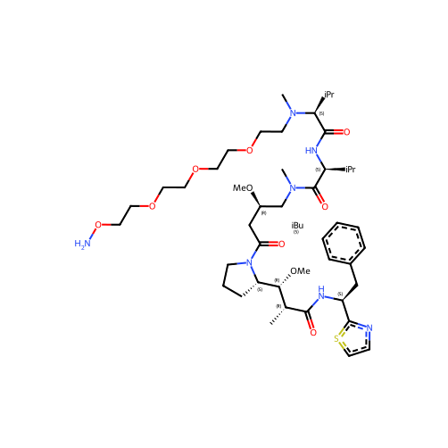 CC[C@H](C)C([C@@H](CC(=O)N1CCC[C@H]1[C@H](OC)[C@@H](C)C(=O)N[C@@H](Cc1ccccc1)c1nccs1)OC)N(C)C(=O)[C@@H](NC(=O)[C@H](C(C)C)N(C)CCOCCOCCOCCON)C(C)C